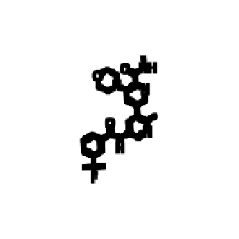 CNC(=O)c1ncc(-c2cc(NC(=O)c3cccc(C(C)(C)F)c3)cnc2C)cc1N1CCOCC1